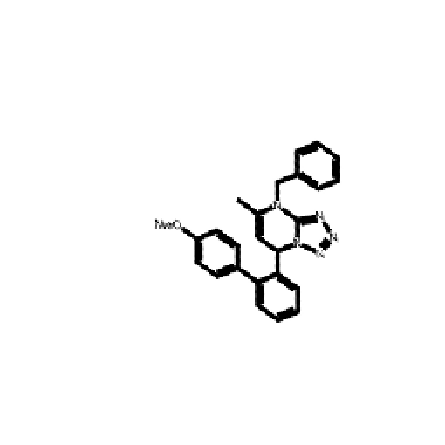 COc1ccc(-c2ccccc2C2C=C(C)N(Cc3ccccc3)c3nnnn32)cc1